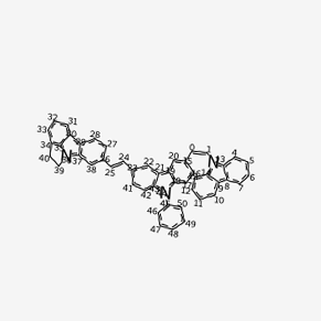 C(=C/n1c2ccccc2c2ccccc21)/c1ccc2c(c1)c1cc(/C=C/c3ccc4c5cccc6c5n(c4c3)CC6)ccc1n2-c1ccccc1